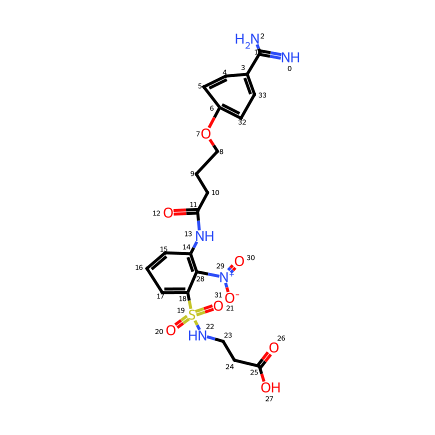 N=C(N)c1ccc(OCCCC(=O)Nc2cccc(S(=O)(=O)NCCC(=O)O)c2[N+](=O)[O-])cc1